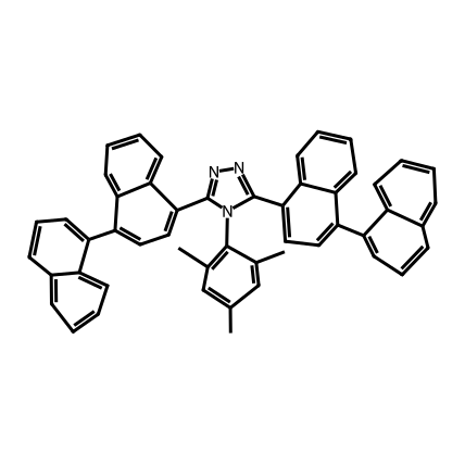 Cc1cc(C)c(-n2c(-c3ccc(-c4cccc5ccccc45)c4ccccc34)nnc2-c2ccc(-c3cccc4ccccc34)c3ccccc23)c(C)c1